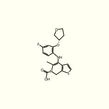 CC1=C(Nc2ccc(F)cc2O[C@H]2CCOC2)c2ccsc2CN1C(=O)O